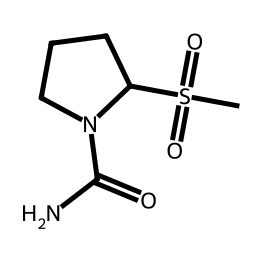 CS(=O)(=O)C1CCCN1C(N)=O